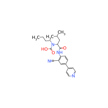 CCCCN(C(=O)O)C(CC(C)C)C(=O)Nc1ccc(-c2ccncc2)cc1C#N